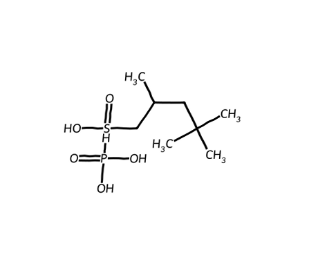 CC(CC(C)(C)C)C[SH](=O)(O)P(=O)(O)O